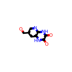 O=Cc1cnc2[nH]c(=O)c(=O)[nH]c2c1